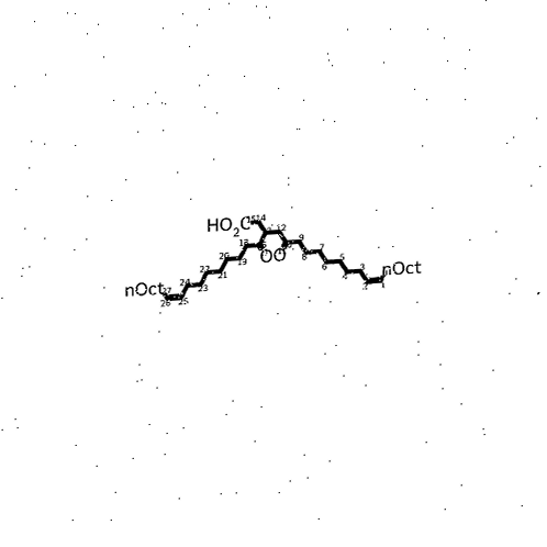 CCCCCCCC/C=C\CCCCCCCC(=O)CC(CC(=O)O)C(=O)CCCCCCC/C=C\CCCCCCCC